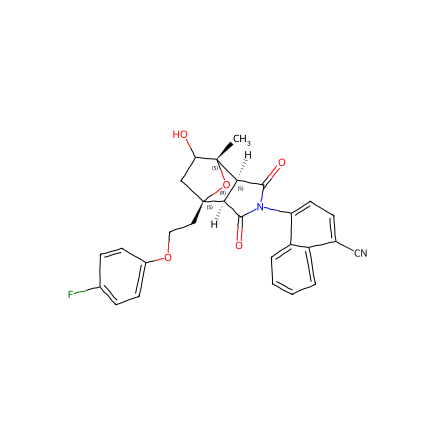 C[C@@]12O[C@@](CCOc3ccc(F)cc3)(CC1O)[C@@H]1C(=O)N(c3ccc(C#N)c4ccccc34)C(=O)[C@@H]12